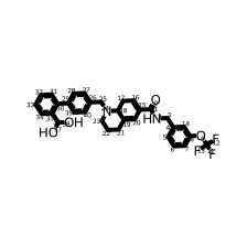 O=C(NCc1cccc(OC(F)(F)F)c1)C1=CCC2C(=C1)CCCN2Cc1ccc(-c2ccccc2C(O)O)cc1